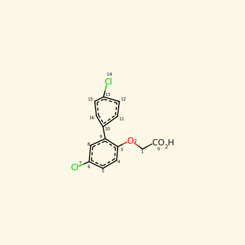 O=C(O)COc1ccc(Cl)cc1-c1ccc(Cl)cc1